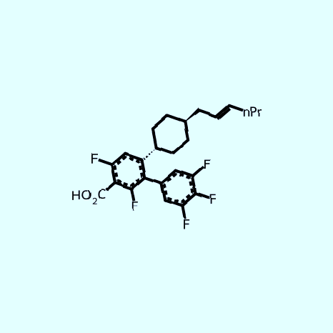 CCC/C=C/C[C@H]1CC[C@H](c2cc(F)c(C(=O)O)c(F)c2-c2cc(F)c(F)c(F)c2)CC1